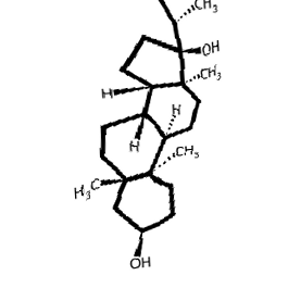 C[C@@H](O)[C@@]1(O)CC[C@H]2[C@H]3CC[C@@]4(C)C[C@H](O)CC[C@]4(C)[C@@H]3CC[C@@]21C